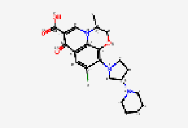 C[C@H]1COc2c(N3CC[C@H](N4CCCCC4)C3)c(F)cc3c(=O)c(C(=O)O)cn1c23